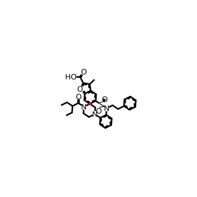 CCC(CC)C(=O)N1CCN(c2ccccc2N(CCc2ccccc2)S(=O)(=O)c2ccc3oc(C(=O)O)c(C)c3c2)CC1